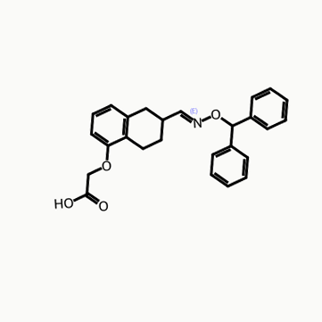 O=C(O)COc1cccc2c1CCC(/C=N/OC(c1ccccc1)c1ccccc1)C2